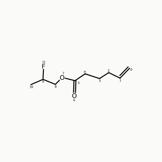 C=CCCCC(=O)OCC(C)F